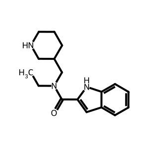 CCN(CC1CCCNC1)C(=O)c1cc2ccccc2[nH]1